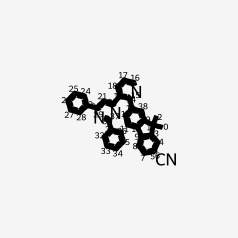 CC1(C)c2cc(C#N)ccc2-c2ccc(-c3ncccc3-c3cc(-c4ccccc4)nc(-c4ccccc4)n3)cc21